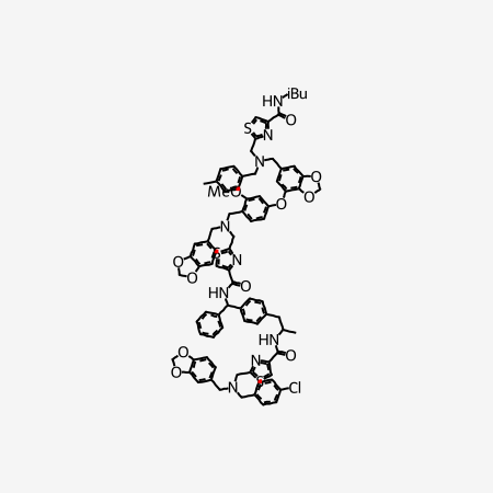 CCC(C)NC(=O)c1csc(CN(Cc2ccc(C)cc2)Cc2cc3c(c(Oc4ccc(CN(Cc5ccc6c(c5)OCO6)Cc5nc(C(=O)NC(c6ccccc6)c6ccc(CC(C)NC(=O)c7csc(CN(Cc8ccc(Cl)cc8)Cc8ccc9c(c8)OCO9)n7)cc6)cs5)c(OC)c4)c2)OCO3)n1